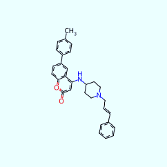 Cc1ccc(-c2ccc3oc(=O)cc(NC4CCN(CC=Cc5ccccc5)CC4)c3c2)cc1